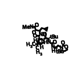 CNC(=O)C(=O)C(CC1CC1)NC(=O)[C@@H]1[C@@H]2[C@H](CN1C(=O)[C@@H](NC(=O)N[C@H](CN1CCCOC1=O)C(C)(C)C)C(C)(C)C)C2(C)C